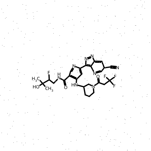 CC(C)(O)C(F)CNC(=O)c1cnc(C2=C3N=CC(C#N)C=C3N=N2)cc1NC1CCCN(C(=O)CC(F)(F)F)C1